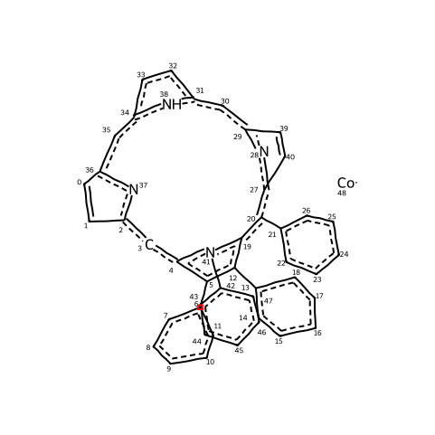 C1=Cc2cc3c(-c4ccccc4)c(-c4ccccc4)c(c(-c4ccccc4)c4nc(cc5ccc(cc1n2)[nH]5)C=C4)n3-c1ccccc1.[Co]